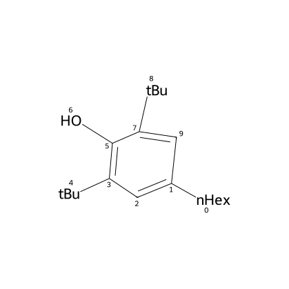 [CH2]CCCCCc1cc(C(C)(C)C)c(O)c(C(C)(C)C)c1